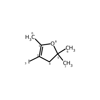 CC1=C(I)CC(C)(C)O1